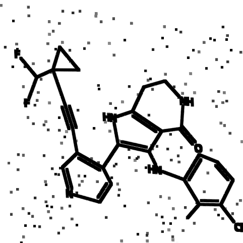 Cc1c(Cl)cccc1Nc1c(-c2ccncc2C#CC2(C(F)F)CC2)[nH]c2c1C(=O)NCC2